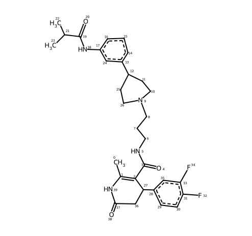 CC1=C(C(=O)NCCCN2CCC(c3cccc(NC(=O)C(C)C)c3)CC2)C(c2ccc(F)c(F)c2)CC(=O)N1